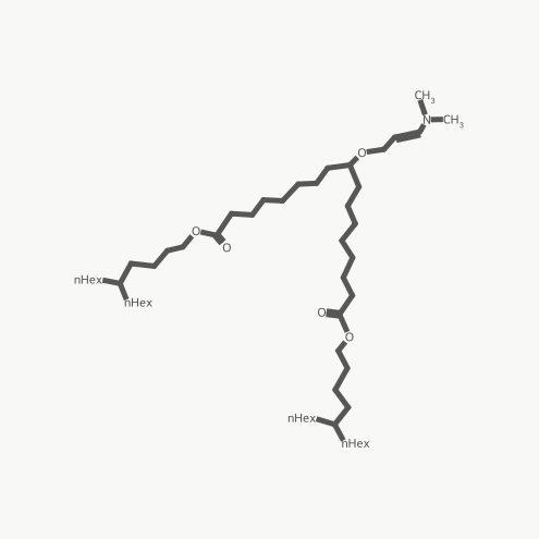 CCCCCCC(CCCCCC)CCCCOC(=O)CCCCCCCC(CCCCCCCC(=O)OCCCCC(CCCCCC)CCCCCC)OC/C=C/N(C)C